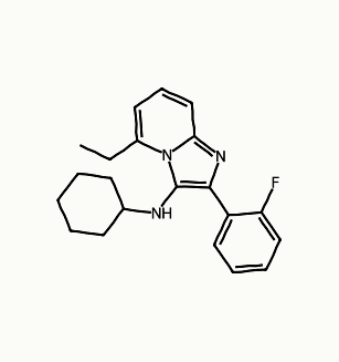 CCc1cccc2nc(-c3ccccc3F)c(NC3CCCCC3)n12